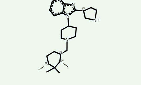 C[C@@H]1CC[C@@H](CN2CCC(n3c([C@H]4CCNC4)nc4ccccc43)CC2)[C@H](C)C1(C)C